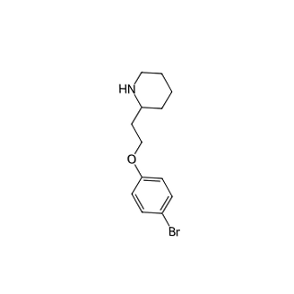 Brc1ccc(OCCC2CCCCN2)cc1